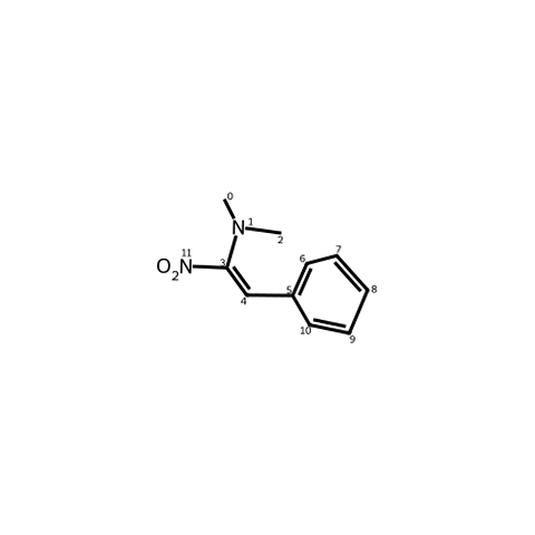 CN(C)C(=Cc1ccccc1)[N+](=O)[O-]